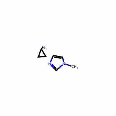 C1CC1.Cn1ccnc1.I